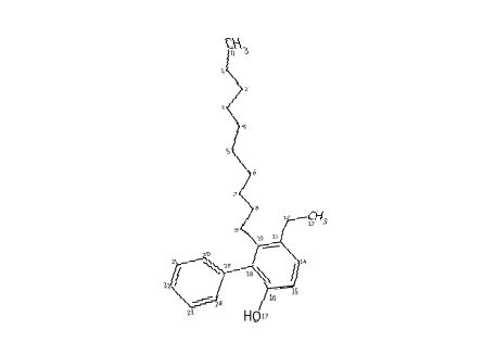 CCCCCCCCCCc1c(CC)ccc(O)c1-c1ccccc1